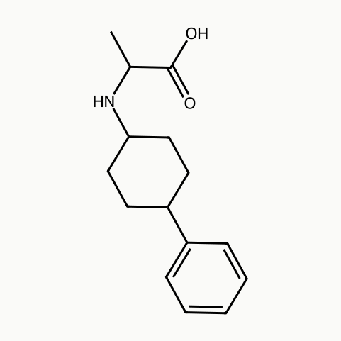 CC(NC1CCC(c2ccccc2)CC1)C(=O)O